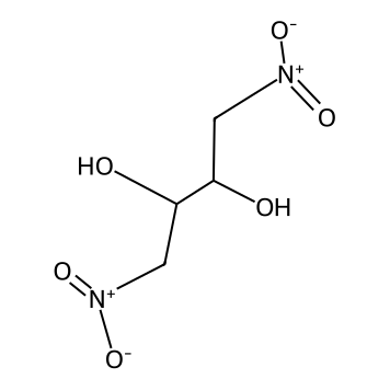 O=[N+]([O-])CC(O)C(O)C[N+](=O)[O-]